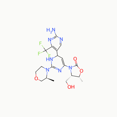 C[C@H]1OC(=O)N(C2=CC(c3cnc(N)nc3C(F)(F)F)NC(N3CCOC[C@@H]3C)=N2)[C@H]1CO